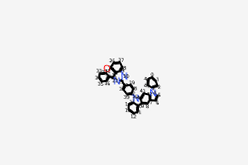 c1ccc(-n2ccc3cc4c5ccccc5n(-c5ccc(-c6nc7c8c(cccc8n6)Oc6ccccc6-7)cc5)c4cc32)cc1